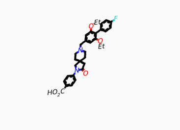 CCOc1cc(CN2CCC3(CC2)CC(=O)N(c2ccc(C(=O)O)cc2)C3)cc(OCC)c1-c1ccc(F)cc1